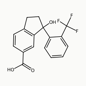 O=C(O)c1ccc2c(c1)C(O)(c1ccccc1C(F)(F)F)CC2